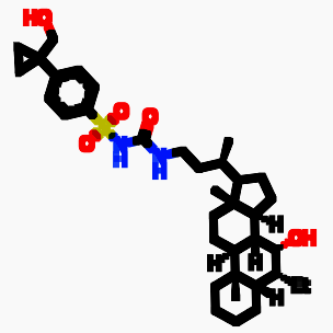 CC[C@H]1[C@@H](O)[C@@H]2[C@H](CC[C@]3(C)C([C@H](C)CCNC(=O)NS(=O)(=O)c4ccc(C5(CO)CC5)cc4)CC[C@@H]23)[C@@]2(C)CCCC[C@@H]12